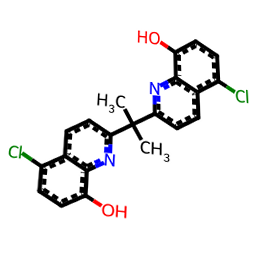 CC(C)(c1ccc2c(Cl)ccc(O)c2n1)c1ccc2c(Cl)ccc(O)c2n1